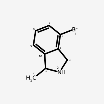 CC1NCc2c(Br)cccc21